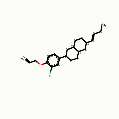 C=CCOc1ccc(C2CCC3CC(/C=C/CC)CCC3C2)cc1F